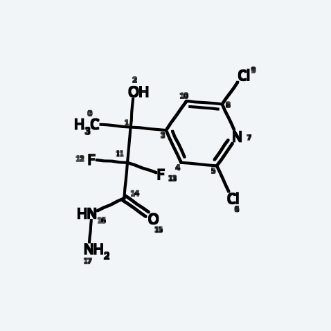 CC(O)(c1cc(Cl)nc(Cl)c1)C(F)(F)C(=O)NN